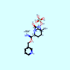 N=C(OCc1cccnc1)[C@@H]1CC[C@@H]2CN1C(=O)N2OS(=O)(=O)[O-].[Na+]